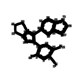 Fc1cc(F)c(-c2nc3n(c2-c2ccc4ncsc4c2)CCC3)cc1F